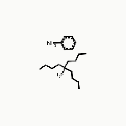 CCCCC(P)(CCCC)CCCC.Cc1ccccc1.N